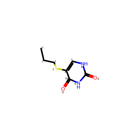 CCCSc1c[nH]c(=O)[nH]c1=O